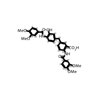 COc1ccc(C(=O)Nc2ccc(Cc3ccc(NC(=O)c4ccc(OC)c(OC)c4)c(C(=O)O)c3)cc2O)cc1OC